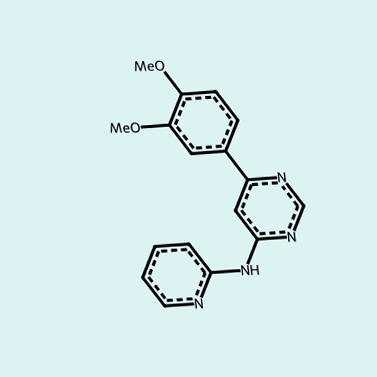 COc1ccc(-c2cc(Nc3ccccn3)ncn2)cc1OC